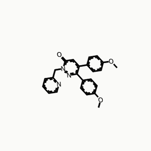 COc1ccc(-c2cc(=O)n(Cc3ccccn3)nc2-c2ccc(OC)cc2)cc1